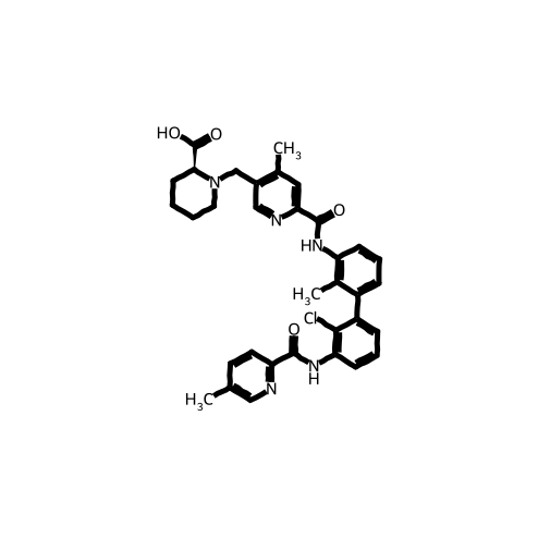 Cc1ccc(C(=O)Nc2cccc(-c3cccc(NC(=O)c4cc(C)c(CN5CCCC[C@H]5C(=O)O)cn4)c3C)c2Cl)nc1